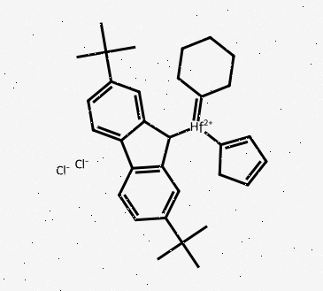 CC(C)(C)c1ccc2c(c1)[CH]([Hf+2]([C]1=CC=CC1)=[C]1CCCCC1)c1cc(C(C)(C)C)ccc1-2.[Cl-].[Cl-]